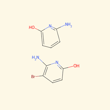 Nc1cccc(O)n1.Nc1nc(O)ccc1Br